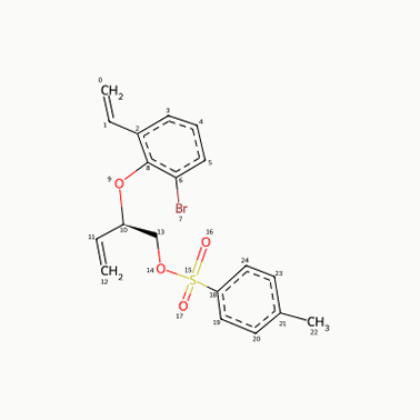 C=Cc1cccc(Br)c1O[C@H](C=C)COS(=O)(=O)c1ccc(C)cc1